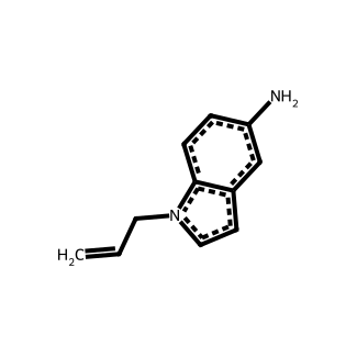 C=CCn1ccc2cc(N)ccc21